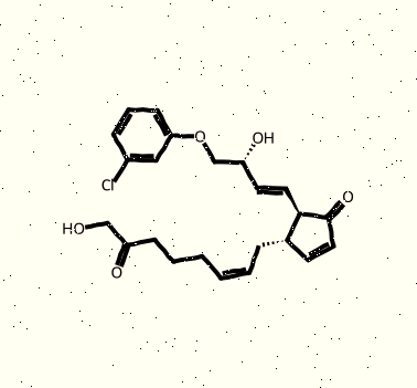 O=C(CO)CCC/C=C\C[C@H]1C=CC(=O)[C@@H]1/C=C/[C@@H](O)COc1cccc(Cl)c1